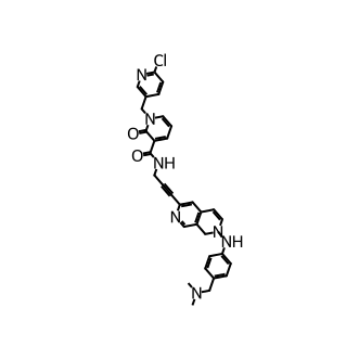 CN(C)Cc1ccc(NN2C=Cc3cc(C#CCNC(=O)c4cccn(Cc5ccc(Cl)nc5)c4=O)ncc3C2)cc1